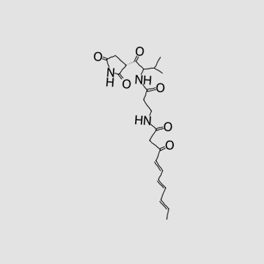 C/C=C/C=C/C=C/C(=O)CC(=O)NCCC(=O)NC(C(=O)[C@H]1CC(=O)NC1=O)C(C)C